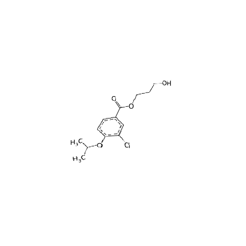 CC(C)Oc1ccc(C(=O)OCCCO)cc1Cl